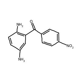 Nc1ccc(N)c(C(=O)c2ccc([N+](=O)[O-])cc2)c1